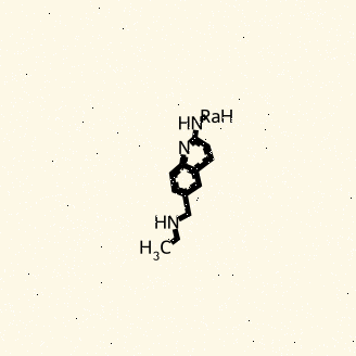 CCNCc1ccc2nc([NH][RaH])ccc2c1